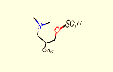 CC(=O)OC(COS(=O)(=O)O)CN(C)C